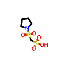 O=S(=O)(O)CS(=O)(=O)N1CCCC1